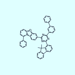 CC1(C)c2ccccc2-c2cccc(-c3nc(-c4cccc(-c5ccccc5)c4)nc(-c4ccc5c(c4)oc4cccc(-c6ccccc6)c45)n3)c21